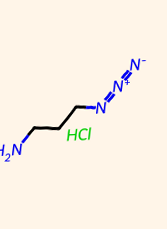 Cl.[N-]=[N+]=NCCCN